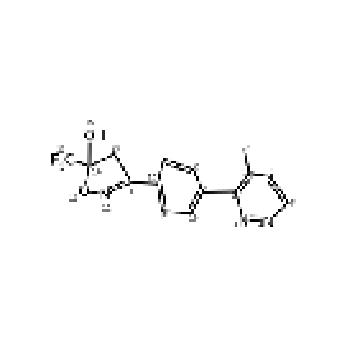 Cc1ccnnc1-c1ccc(C2=NOC(O)(C(F)(F)F)C2)cc1